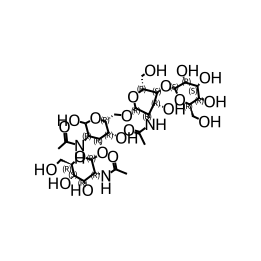 CC(=O)N[C@H]1[C@H](OC[C@H]2OC(O)[C@H](NC(C)=O)[C@@H](O[C@@H]3O[C@H](CO)[C@@H](O)[C@H](O)[C@H]3NC(C)=O)[C@H]2O)O[C@H](CO)[C@@H](O[C@@H]2O[C@H](CO)[C@H](O)[C@H](O)[C@H]2O)[C@@H]1O